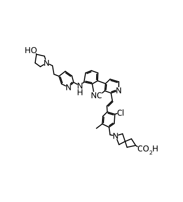 Cc1cc(C=Cc2nccc(-c3cccc(Nc4ccc(CCN5CCC(O)C5)cn4)c3C)c2C#N)c(Cl)cc1CN1CC2(CC(C(=O)O)C2)C1